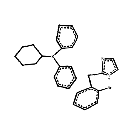 Brc1ccccc1Cc1ncc[nH]1.c1ccc(B(c2ccccc2)C2CCCCC2)cc1